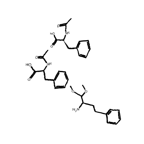 CC(=O)NC(Cc1ccccc1)C(=O)O.CC(=O)N[C@@H](Cc1ccccc1)C(=O)O.COC(OC)C(N)CCc1ccccc1